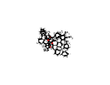 Bc1c(B)c(B)c(-c2cc(S(c3ccccc3)(c3ccccc3)c3ccccc3)cc(-c3c(B)c(B)c(B)c(B)c3B)c2-n2c3ccccc3c3cc(-n4c5ccccc5c5cccc(-c6ccccc6-c6ccc7oc8ccccc8c7c6)c54)ccc32)c(B)c1B